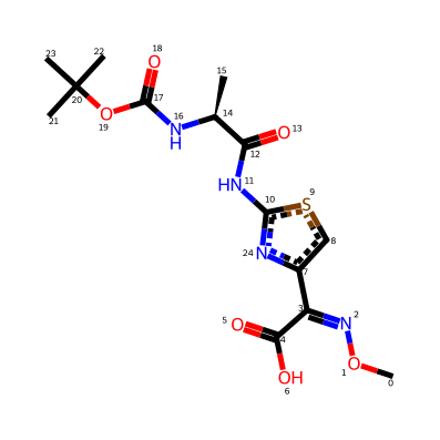 CON=C(C(=O)O)c1csc(NC(=O)[C@H](C)NC(=O)OC(C)(C)C)n1